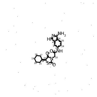 Nc1n[nH]c2cc(NC(=O)CN3C(=O)SC(=C4CCCCC4)C3=O)ccc12